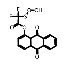 O=C1c2ccccc2C(=O)C2C(OC(=O)C(F)(F)SOO)=CC=CC12